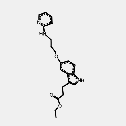 CCOC(=O)CCc1c[nH]c2ccc(OCCCNc3ccccn3)cc12